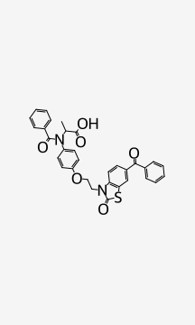 CC(C(=O)O)N(C(=O)c1ccccc1)c1ccc(OCCn2c(=O)sc3cc(C(=O)c4ccccc4)ccc32)cc1